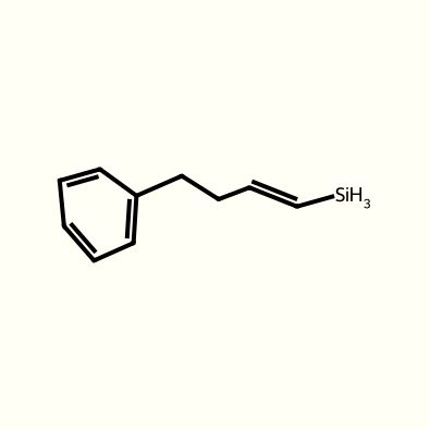 [SiH3]C=CCCc1ccccc1